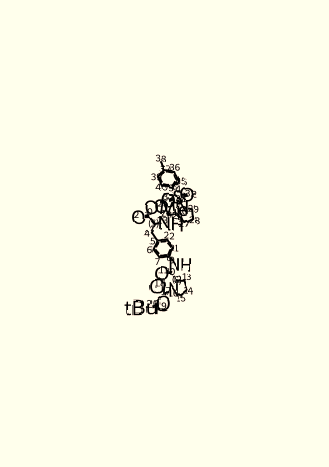 COC(=O)[C@H](Cc1ccc(NC(=O)[C@@H]2CCCN2C(=O)OC(C)(C)C)cc1)NC(=O)[C@@H]1CCCN1S(=O)(=O)c1ccc(C)cc1